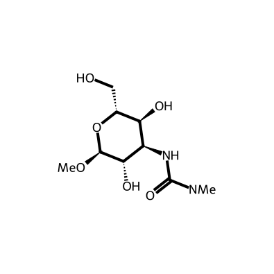 CNC(=O)N[C@H]1[C@H](O)[C@@H](OC)O[C@H](CO)[C@H]1O